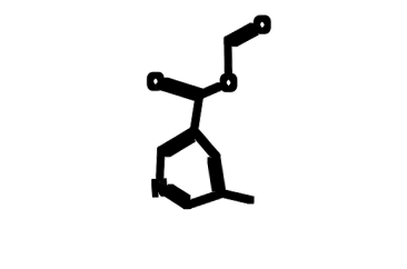 Cc1cncc(C(=O)OC=O)c1